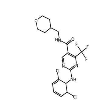 O=C(NCC1CCOCC1)c1cnc(NC2C(Cl)=CC=CC2Cl)nc1C(F)(F)F